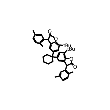 Cc1ccc(C)c(C2C(=O)Oc3c2cc(C2(c4cc5c(c(C(C)(C)C)c4)OC(=O)C5c4cc(C)ccc4C)CCCCC2)cc3C(C)(C)C)c1